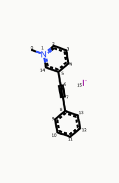 C[n+]1cccc(C#Cc2ccccc2)c1.[I-]